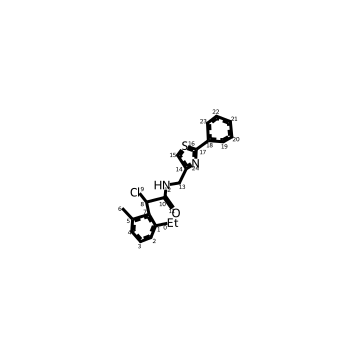 CCc1cccc(C)c1C(Cl)C(=O)NCc1csc(-c2ccccc2)n1